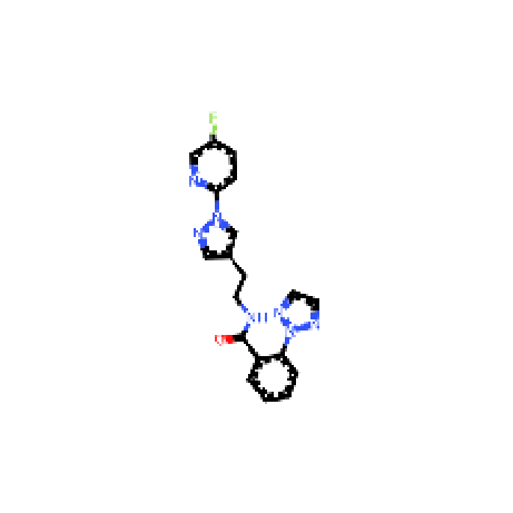 O=C(NCCc1cnn(-c2ccc(F)cn2)c1)c1ccccc1-n1nccn1